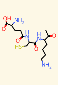 CC(=O)C(CCCCN)NC(=O)C(CS)NC(=O)CCC(N)C(=O)O